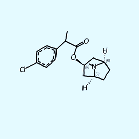 CC(C(=O)O[C@H]1C[C@H]2CC[C@@H](C1)N2C)c1ccc(Cl)cc1